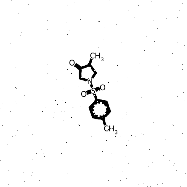 Cc1ccc(S(=O)(=O)N2CC(=O)C(C)C2)cc1